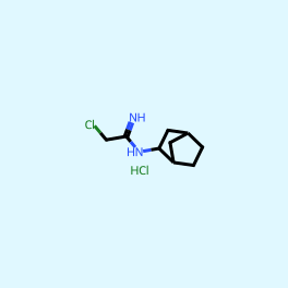 Cl.N=C(CCl)NC1CC2CCC1C2